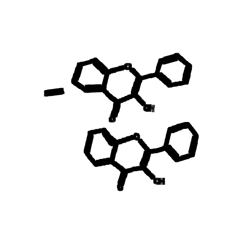 C=S.O=c1c(O)c(-c2ccccc2)oc2ccccc12.O=c1c(O)c(-c2ccccc2)oc2ccccc12